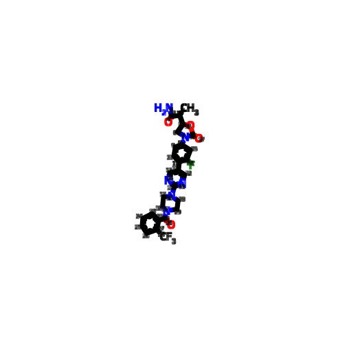 CC(C(N)=O)C1CN(c2ccc(-c3cnc(N4CCN(C(=O)c5ccccc5C(F)(F)F)CC4)nc3)c(F)c2)C(=O)O1